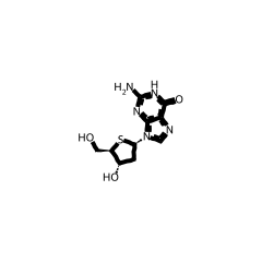 Nc1nc2c(ncn2[C@@H]2C[C@H](O)[C@@H](CO)S2)c(=O)[nH]1